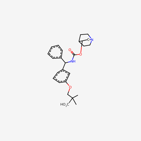 CC(C)(COc1cccc(C(NC(=O)OC2CN3CCC2CC3)c2ccccc2)c1)C(=O)O